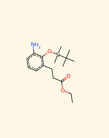 CCOC(=O)CCc1cccc(N)c1O[Si](C)(C)C(C)(C)C